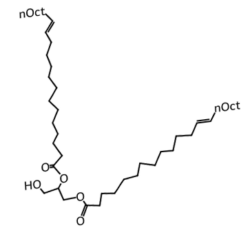 CCCCCCCCC=CCCCCCCCCCCCC(=O)OCC(CO)OC(=O)CCCCCCCCCCCC=CCCCCCCCC